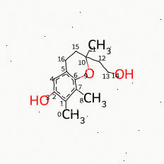 Cc1c(O)cc2c(c1C)OC(C)(CCO)CC2